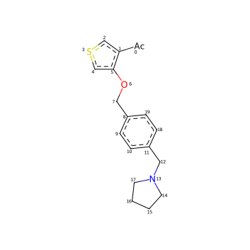 CC(=O)c1cscc1OCc1ccc(CN2CCCC2)cc1